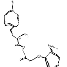 Cc1ccccc1OCC(=O)ON[C@H](N)Cc1ccc(O)cc1